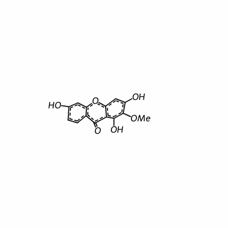 COc1c(O)cc2oc3cc(O)ccc3c(=O)c2c1O